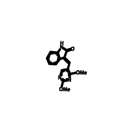 COc1ncc(/C=C2/C(=O)Nc3ccccc32)c(OC)n1